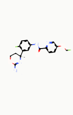 C[C@]1(c2cc(NC(=O)c3ccc(OCF)cn3)ccc2F)C[C@@H](C(F)(F)F)OC(N)=N1